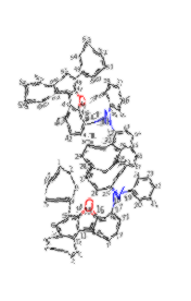 C1=CCCC(c2cc3ccccc3c3c2oc2c(N(c4ccccc4)c4ccc5ccc6c(N(c7ccccc7)c7cccc8c7oc7c(-c9ccccc9)cc9ccccc9c78)ccc7ccc4c5c76)cccc23)=C1